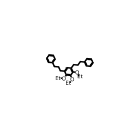 CCOc1c(CCCc2ccccc2)[c]c(CCCc2ccccc2)c(OCC)c1OCC